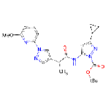 COc1cccc(-n2cc(C(C)C(=O)Nc3cc(C4CC4)nn3C(=O)OC(C)(C)C)cn2)n1